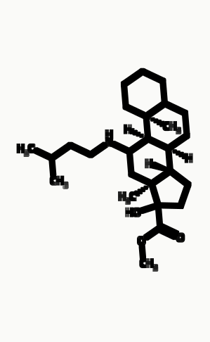 COC(=O)C1(O)CC[C@H]2[C@@H]3CCC4CCCC[C@]4(C)[C@@H]3C(NCCC(C)C)C[C@@]21C